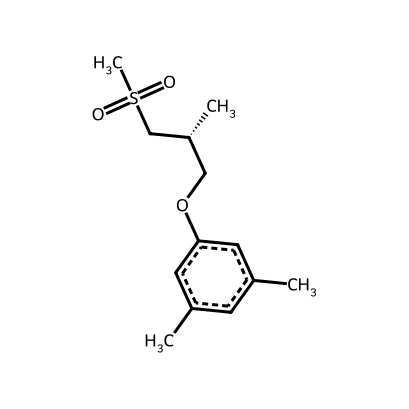 Cc1cc(C)cc(OC[C@@H](C)CS(C)(=O)=O)c1